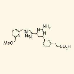 COCc1cccc(Cn2cc(-c3cc(-c4cccc(CCC(=O)O)c4)nc(N)n3)nn2)n1